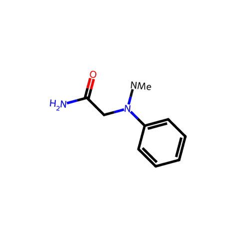 CNN(CC(N)=O)c1ccccc1